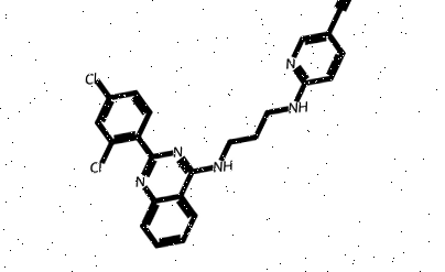 N#Cc1ccc(NCCCNc2nc(-c3ccc(Cl)cc3Cl)nc3ccccc23)nc1